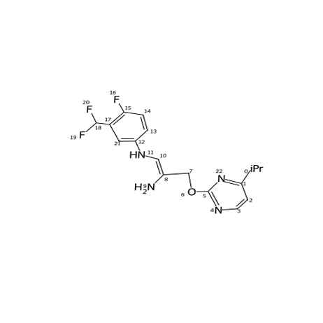 CC(C)c1ccnc(OC/C(N)=C/Nc2ccc(F)c(C(F)F)c2)n1